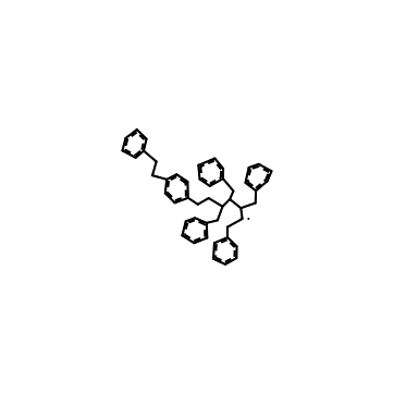 [CH](Cc1ccccc1)C(Cc1ccccc1)C(Cc1ccccc1)C(CCc1ccc(CCc2ccccc2)cc1)Cc1ccccc1